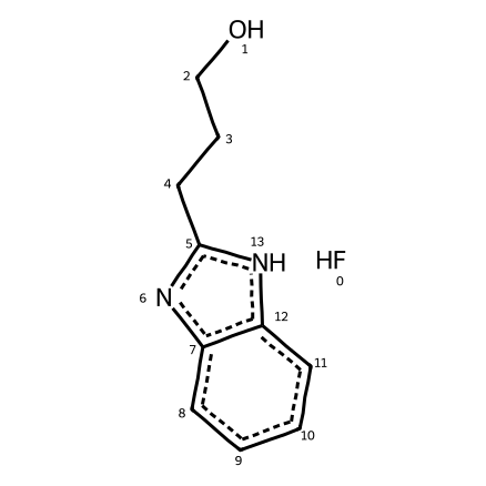 F.OCCCc1nc2ccccc2[nH]1